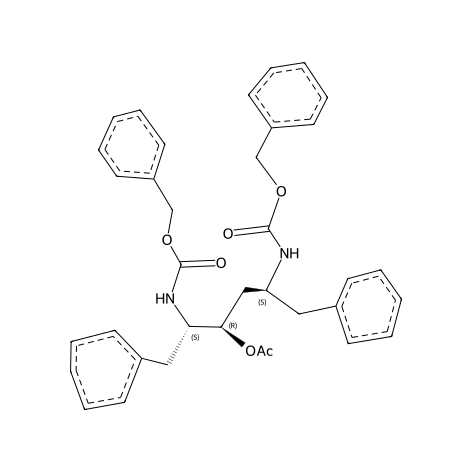 CC(=O)O[C@H](C[C@H](Cc1ccccc1)NC(=O)OCc1ccccc1)[C@H](Cc1ccccc1)NC(=O)OCc1ccccc1